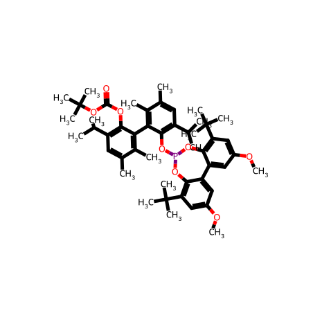 COc1cc(C(C)(C)C)c2op(Oc3c(C(C)C)cc(C)c(C)c3-c3c(C)c(C)cc(C(C)C)c3OC(=O)OC(C)(C)C)oc3c(C(C)(C)C)cc(OC)cc3c2c1